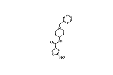 O=Nc1cc(C(=O)NC2CCN(Cc3ccccc3)CC2)cs1